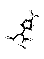 COC(=O)C(CC=O)c1ccc(N(C)C)cc1